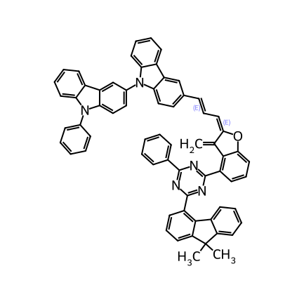 C=c1/c(=C\C=C\c2ccc3c(c2)c2ccccc2n3-c2ccc3c(c2)c2ccccc2n3-c2ccccc2)oc2cccc(-c3nc(-c4ccccc4)nc(-c4cccc5c4-c4ccccc4C5(C)C)n3)c12